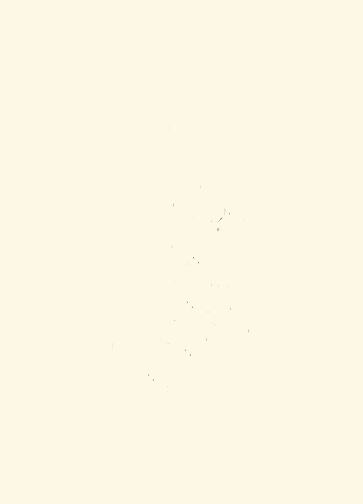 CC(N)C(=O)NC1COC[C@H]1NS(=O)(=O)N1C[C@H](CCCB(O)O)[C@@H](N)C1